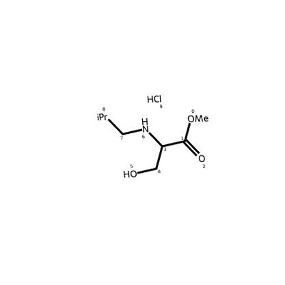 COC(=O)C(CO)NCC(C)C.Cl